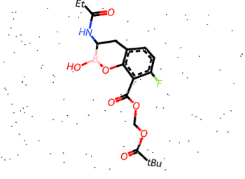 CCC(=O)NC1Cc2ccc(F)c(C(=O)OCOC(=O)C(C)(C)C)c2OB1O